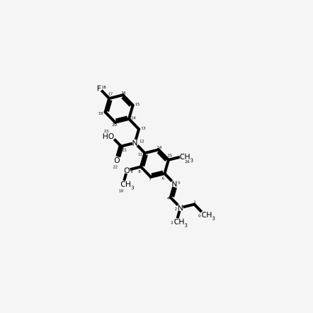 CCN(C)C=Nc1cc(OC)c(N(Cc2ccc(F)cc2)C(=O)O)cc1C